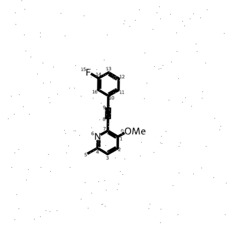 COc1ccc(C)nc1C#Cc1cccc(F)c1